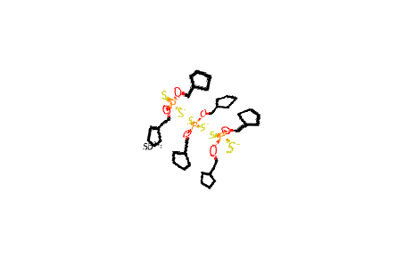 S=P([S-])(OCC1CCCC1)OCC1CCCC1.S=P([S-])(OCC1CCCC1)OCC1CCCC1.S=P([S-])(OCC1CCCC1)OCC1CCCC1.[Sb+3]